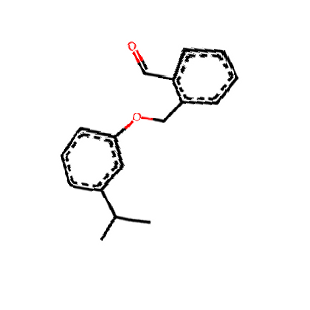 CC(C)c1cccc(OCc2ccccc2C=O)c1